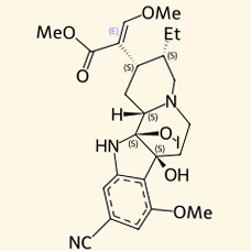 CC[C@@H]1CN2CC[C@]3(O)c4c(cc(C#N)cc4OC)N[C@]3(OI)[C@@H]2C[C@@H]1/C(=C\OC)C(=O)OC